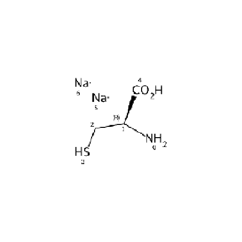 N[C@@H](CS)C(=O)O.[Na].[Na]